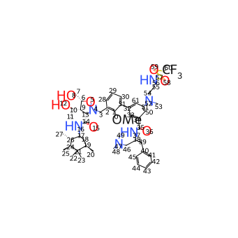 COc1c(CN2O[C@@H](CO)[C@@H]([C@H](C)O)[C@H]2C(=O)N[C@H]2C[C@@H](C)C(C)(C)[C@@H](C)[C@@H]2C)cccc1-c1cc(C(=O)N[C@@H](Cc2ccccc2)CN(C)C)cc(N(C)CCNS(=O)(=O)C(F)(F)F)c1